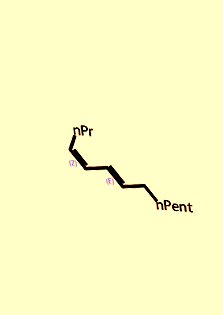 [CH2]CCCCC/C=C/C=C\CCC